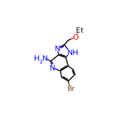 CCOCc1nc2c(N)nc3cc(Br)ccc3c2[nH]1